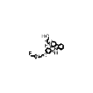 C[C@H](CO)CN1[C@H](c2c(F)cc(OCCN3CC(CF)C3)cc2F)c2[nH]c3ccccc3c2C[C@H]1C